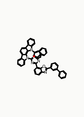 c1ccc(-c2cccc(-c3nc4cccc(-c5nc(-c6ccccc6)nc(-n6c7ccccc7c7ccc8c9ccccc9n(-c9ccccc9)c8c76)n5)c4o3)c2)cc1